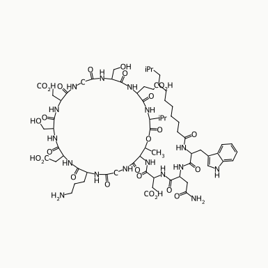 CC(C)CCCCCCCCC(=O)NC(Cc1c[nH]c2ccccc12)C(=O)NC(CC(N)=O)C(=O)NC(CC(=O)O)C(=O)NC1C(=O)NCC(=O)NC(CCCN)C(=O)NC(CC(=O)O)C(=O)NC(CO)C(=O)NC(CC(=O)O)C(=O)NCC(=O)NC(CO)C(=O)NC(CCC(=O)O)C(=O)NC(C(C)C)C(=O)OC1C